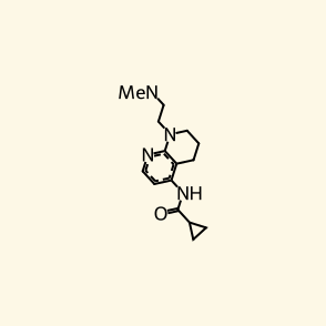 CNCCN1CCCc2c(NC(=O)C3CC3)ccnc21